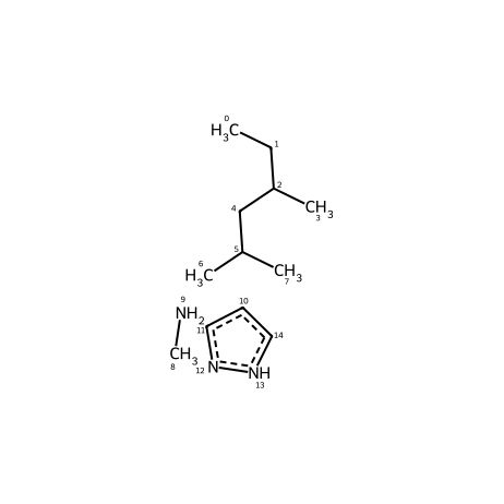 CCC(C)CC(C)C.CN.c1cn[nH]c1